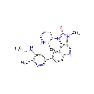 CCNc1cc(-c2ccc3ncc4c(c3c2)n(-c2cccnc2C)c(=O)n4C)cnc1C